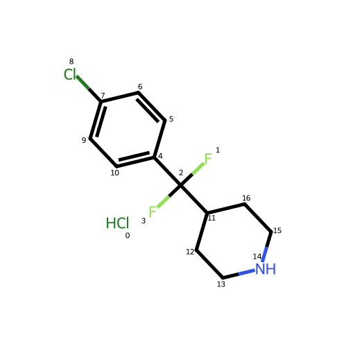 Cl.FC(F)(c1ccc(Cl)cc1)C1CCNCC1